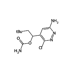 CC(C)(C)CC(OC(N)=O)c1cc(N)nnc1Cl